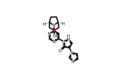 O=c1c(-n2ccnc2)c[nH]n1-c1cc(N2[C@@H]3CC[C@H]2C[C@@H](O)C3)ncn1